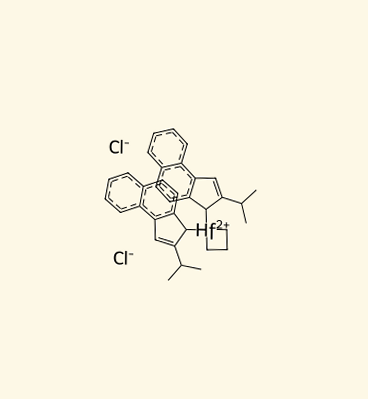 CC(C)C1=Cc2c(ccc3ccccc23)[CH]1[Hf+2]1([CH]2C(C(C)C)=Cc3c2ccc2ccccc32)[CH2]C[CH2]1.[Cl-].[Cl-]